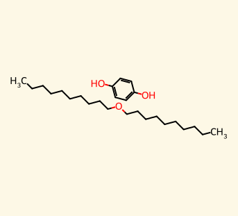 CCCCCCCCCCOCCCCCCCCCC.Oc1ccc(O)cc1